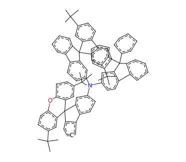 CC(C)(C)c1ccc2c(c1)C1(c3cc(C(C)(C)C)ccc3O2)c2ccccc2-c2ccc(N(c3ccc4c(c3)C(c3ccccc3)(c3ccccc3)c3ccccc3-4)c3ccc4c(c3)C3(c5ccccc5-4)c4cc(C(C)(C)C)ccc4-c4ccc(C(C)(C)C)cc43)cc21